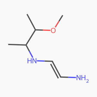 COC(C)C(C)N/C=C/N